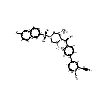 C[C@@H]1CN(S(=O)(=O)c2ccc3cc(Cl)ccc3c2)C[C@H](C)N1C(=O)c1ccc(-c2cc[n+]([O-])c(C#N)c2)cc1